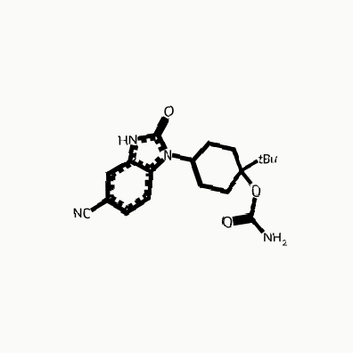 CC(C)(C)C1(OC(N)=O)CCC(n2c(=O)[nH]c3cc(C#N)ccc32)CC1